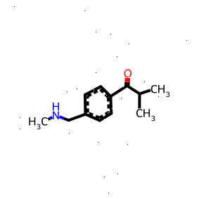 CNCc1ccc(C(=O)C(C)C)cc1